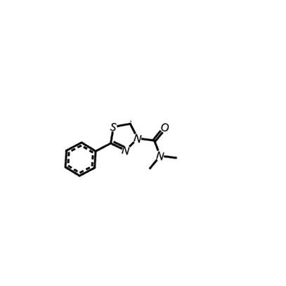 CN(C)C(=O)N1[CH]SC(c2ccccc2)=N1